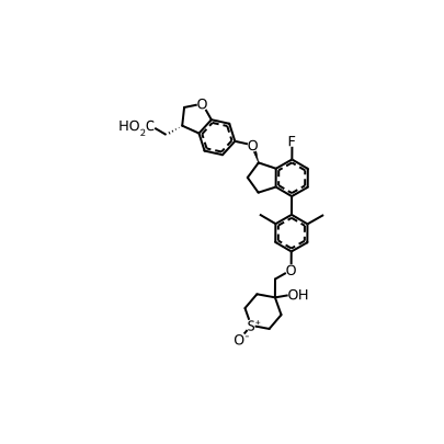 Cc1cc(OCC2(O)CC[S+]([O-])CC2)cc(C)c1-c1ccc(F)c2c1CC[C@H]2Oc1ccc2c(c1)OC[C@H]2CC(=O)O